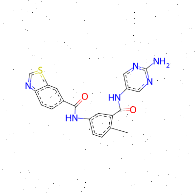 Cc1ccc(NC(=O)c2ccc3ncsc3c2)cc1C(=O)Nc1cnc(N)nc1